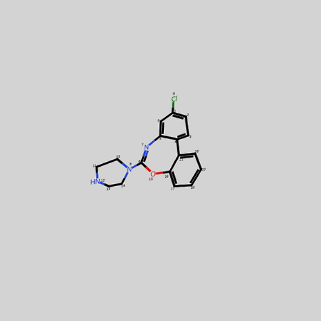 Clc1ccc2c(c1)N=C(N1CCNCC1)Oc1ccccc1-2